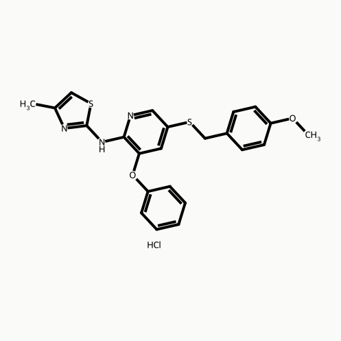 COc1ccc(CSc2cnc(Nc3nc(C)cs3)c(Oc3ccccc3)c2)cc1.Cl